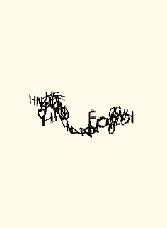 CNC(=O)c1ccccc1Nc1cc(Nc2ccc(N3CCC(CN4C(C)CN(c5cc6c(cc5F)C(=O)N(C5CCC(=O)NC5=O)C6=O)CC4C)CC3)cc2OC)ncc1C(F)(F)F